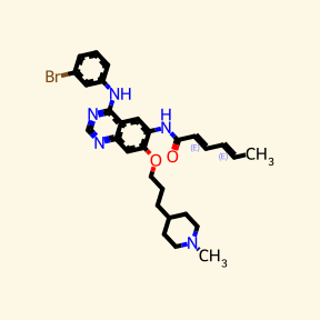 C/C=C/C=C/C(=O)Nc1cc2c(Nc3cccc(Br)c3)ncnc2cc1OCCCC1CCN(C)CC1